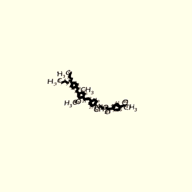 CCCCN(CCCC)c1ccc(/C=C/c2cc(OC)c(/C=C/c3ccc(N(C)CCOC(=O)c4ccc(C(C)=O)cc4)cc3)cc2C)cc1